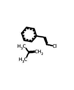 C=C(C)C.ClC=Cc1ccccc1